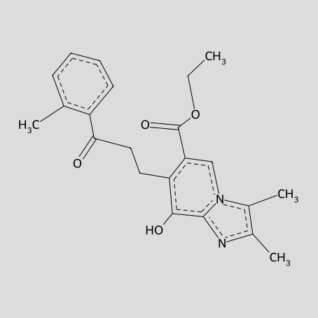 CCOC(=O)c1cn2c(C)c(C)nc2c(O)c1CCC(=O)c1ccccc1C